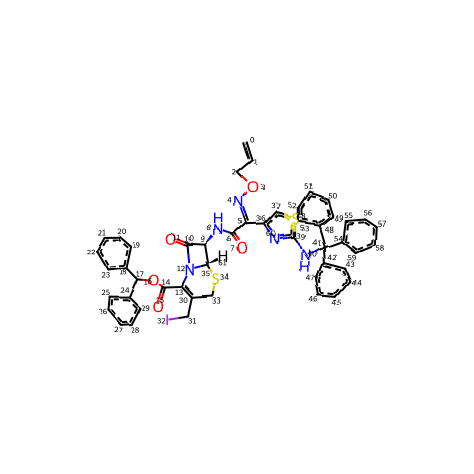 C=CCON=C(C(=O)N[C@@H]1C(=O)N2C(C(=O)OC(c3ccccc3)c3ccccc3)=C(CI)CS[C@@H]12)c1csc(NC(c2ccccc2)(c2ccccc2)c2ccccc2)n1